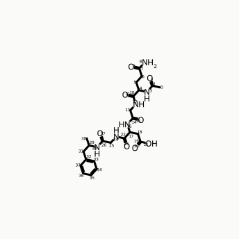 CC(=O)NC(CCC(N)=O)C(=O)NCC(=O)NC(CC(=O)O)C(=O)NCC(=O)NC(C)Cc1ccccc1